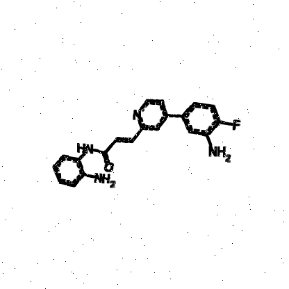 Nc1cc(-c2ccnc(C=CC(=O)Nc3ccccc3N)c2)ccc1F